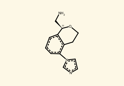 NC[C@H]1OCCc2c1cccc2-n1ccnc1